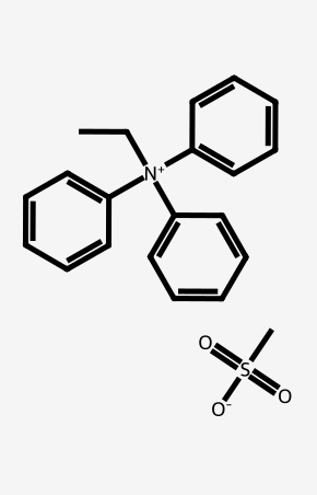 CC[N+](c1ccccc1)(c1ccccc1)c1ccccc1.CS(=O)(=O)[O-]